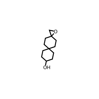 OC1CCC2(CC1)CCC1(CC2)CO1